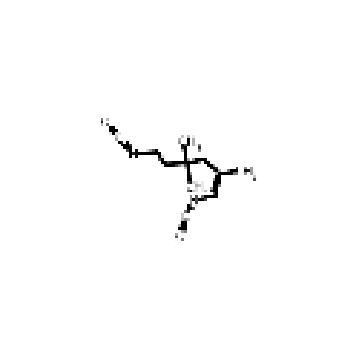 CC(=CN=C=O)CC(C)(C)CCN=C=O